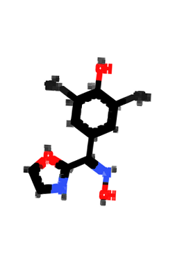 CC(C)(C)c1cc(C(=NO)c2ncco2)cc(C(C)(C)C)c1O